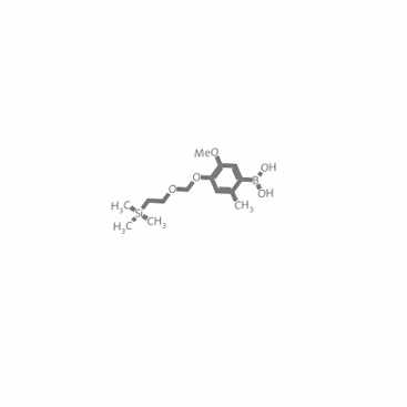 COc1cc(B(O)O)c(C)cc1OCOCC[Si](C)(C)C